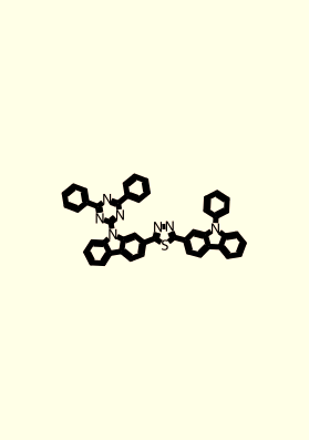 c1ccc(-c2nc(-c3ccccc3)nc(-n3c4ccccc4c4ccc(-c5nnc(-c6ccc7c8ccccc8n(-c8ccccc8)c7c6)s5)cc43)n2)cc1